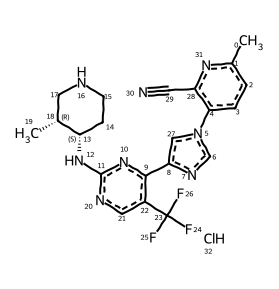 Cc1ccc(-n2cnc(-c3nc(N[C@H]4CCNC[C@H]4C)ncc3C(F)(F)F)c2)c(C#N)n1.Cl